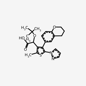 Cc1sc(-n2cccn2)c(-c2ccc3c(c2)CCCO3)c1C(OC(C)(C)C)C(=O)O